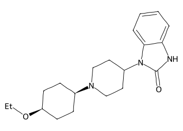 CCO[C@H]1CC[C@@H](N2CCC(n3c(=O)[nH]c4ccccc43)CC2)CC1